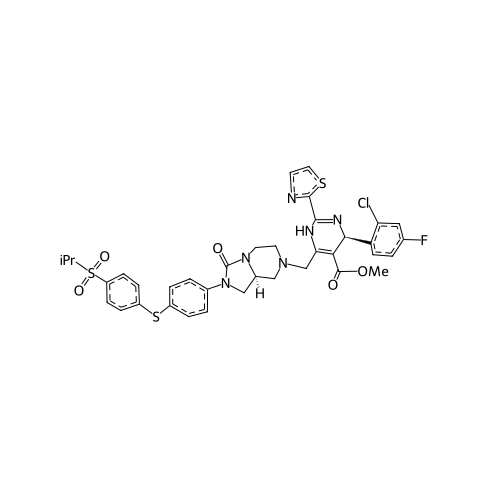 COC(=O)C1=C(CN2CCN3C(=O)N(c4ccc(Sc5ccc(S(=O)(=O)C(C)C)cc5)cc4)C[C@@H]3C2)NC(c2nccs2)=N[C@H]1c1ccc(F)cc1Cl